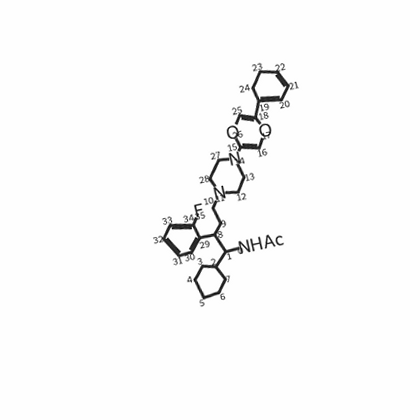 CC(=O)NC(C1CCCCC1)C(CCN1CCN(C2=COC(C3=CC=CCC3)=CO2)CC1)c1ccccc1F